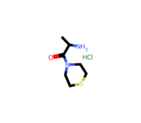 CC(N)C(=O)N1CCSCC1.Cl